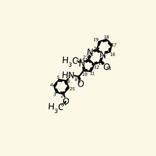 COc1cccc(NC(=O)c2cc3c(=O)n4ccccc4nc3n2C)c1